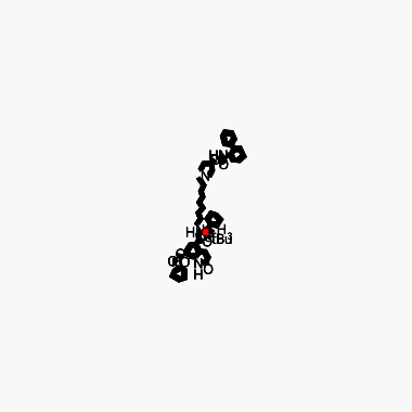 CC(C)(C)[Si](C)(C)OC(CN(CCCCCCCCCN1CCC(OC(=O)Nc2ccccc2-c2ccccc2)CC1)Cc1ccccc1)c1ccc(OS(=O)(=O)c2ccccc2)c2[nH]c(=O)ccc12